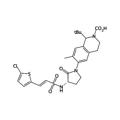 Cc1cc2c(cc1N1CC[C@H](NS(=O)(=O)/C=C/c3ccc(Cl)s3)C1=O)CCN(C(=O)O)C2C(C)(C)C